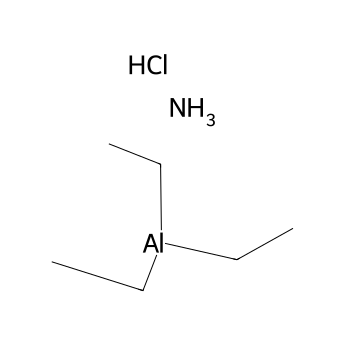 C[CH2][Al]([CH2]C)[CH2]C.Cl.N